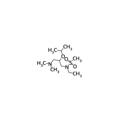 CCN(CC(CN(C)C)OC(C)C)S(C)(=O)=O